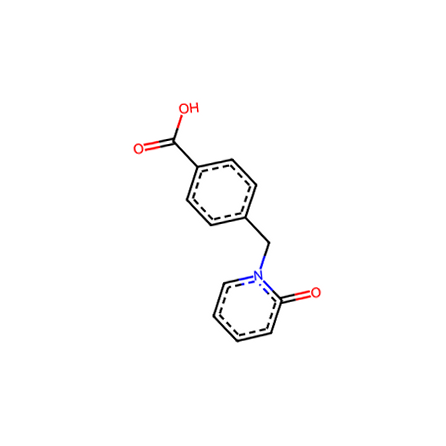 O=C(O)c1ccc(Cn2ccccc2=O)cc1